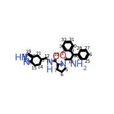 N[C@@H](C(=O)N1CCC[C@H]1C(=O)NCC1CCc2n[nH]cc2C1)C(c1ccccc1)c1ccccc1